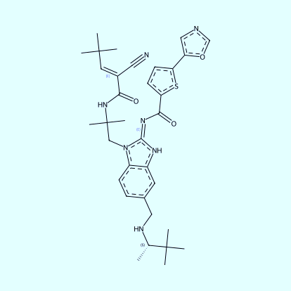 C[C@H](NCc1ccc2c(c1)[nH]/c(=N\C(=O)c1ccc(-c3cnco3)s1)n2CC(C)(C)NC(=O)/C(C#N)=C/C(C)(C)C)C(C)(C)C